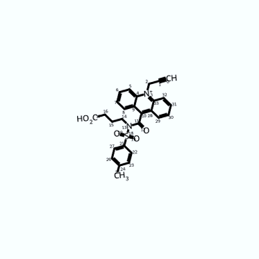 C#CC[n+]1c2ccccc2c(C(=O)N(CCCC(=O)O)S(=O)(=O)c2ccc(C)cc2)c2ccccc21